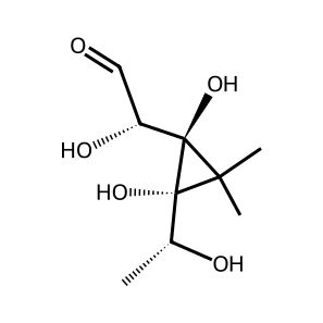 C[C@@H](O)[C@]1(O)C(C)(C)[C@@]1(O)[C@H](O)C=O